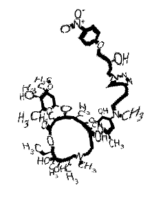 CC[C@H]1OC(=O)[C@H](C)[C@@H](O[C@H]2C[C@@](C)(OC)[C@@H](O)[C@H](C)O2)[C@H](C)[C@@H](O[C@@H]2O[C@H](C)C[C@H](N(C)CCc3cn(C[C@@H](O)COc4ccc([N+](=O)[O-])cc4)nn3)[C@H]2O)[C@](C)(O)CCN(C)[C@H](C)[C@@H](O)[C@]1(C)O